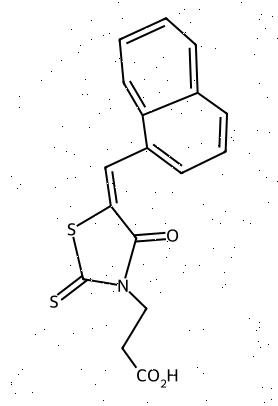 O=C(O)CCN1C(=O)C(=Cc2cccc3ccccc23)SC1=S